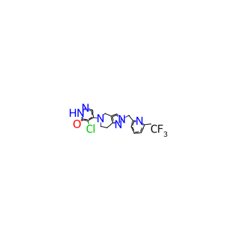 O=c1[nH]ncc(N2CCc3nn(Cc4cccc(CC(F)(F)F)n4)cc3C2)c1Cl